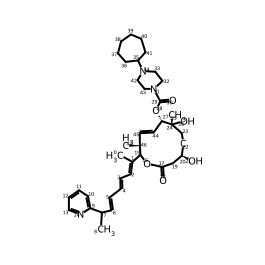 C\C(=C/C=C/C=C/C(C)c1ccccn1)C1OC(=O)C[C@H](O)CC[C@@](C)(O)[C@@H](OC(=O)N2CCN(C3CCCCCC3)CC2)/C=C/[C@@H]1C